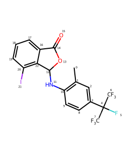 Cc1cc(C(F)(C(F)(F)F)C(F)(F)F)ccc1NC1OC(=O)c2cccc(I)c21